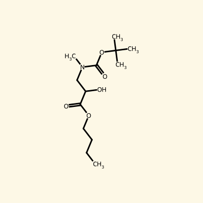 CCCCOC(=O)C(O)CN(C)C(=O)OC(C)(C)C